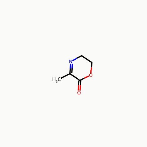 CC1=NCCOC1=O